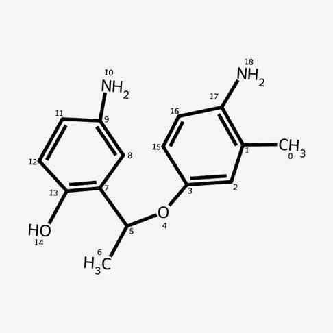 Cc1cc(OC(C)c2cc(N)ccc2O)ccc1N